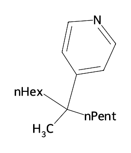 CCCCCCC(C)(CCCCC)c1ccncc1